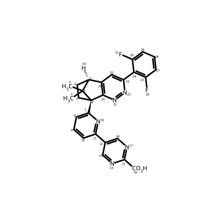 CC1(C)[C@H]2CC[C@@]1(c1cccc(-c3cnc(C(=O)O)nc3)n1)c1nnc(-c3c(F)cccc3F)cc12